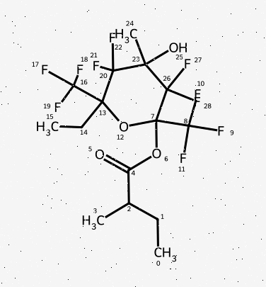 CCC(C)C(=O)OC1(C(F)(F)F)OC(CC)(C(F)(F)F)C(F)(F)C(C)(O)C1(F)F